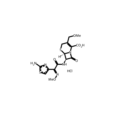 COCC1=C(C(=O)O)N2C(=O)[C@@H](NC(=O)C(=NOC)c3csc(N)n3)[C@H]2SC1.Cl